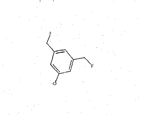 [O]c1cc(CF)cc(CF)c1